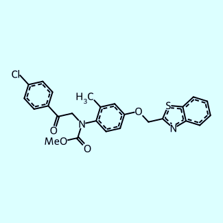 COC(=O)N(CC(=O)c1ccc(Cl)cc1)c1ccc(OCc2nc3ccccc3s2)cc1C